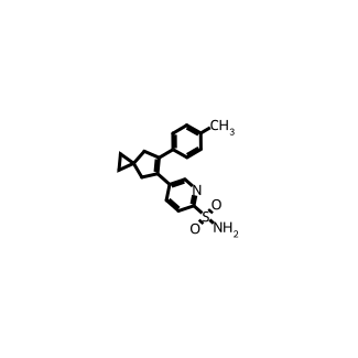 Cc1ccc(C2=C(c3ccc(S(N)(=O)=O)nc3)CC3(CC3)C2)cc1